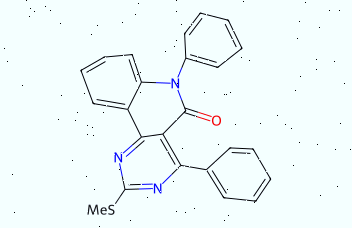 CSc1nc(-c2ccccc2)c2c(=O)n(-c3ccccc3)c3ccccc3c2n1